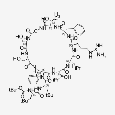 CC(C)C[C@@H]1NC(=O)[C@H]([C@H](O)C(C)C)NC(=O)[C@@H](NC(=O)[C@H](CC(C)(C)C)NC(=O)[C@@H](CC(C)(C)C)NC(=O)OC(C)(C)C)[C@@H](c2ccccc2)NC(=O)C(CO)NC(=O)[C@H](CO)NC(=O)CNC(=O)[C@H]([C@H](C)O)NC(=O)[C@H](Cc2ccccc2)NC(=O)[C@@H](CCCNC(=N)N)NC1=O